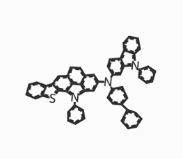 c1ccc(-c2ccc(N(c3ccc4c5ccccc5n(-c5ccccc5)c4c3)c3cc4ccc5cc6c7ccccc7sc6c6c5c4c(c3)n6-c3ccccc3)cc2)cc1